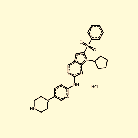 Cl.O=S(=O)(c1ccccc1)c1cc2cnc(Nc3ccc(N4CCNCC4)cn3)nc2n1C1CCCC1